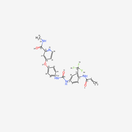 C=CC(=O)Nc1ccc(NC(=O)Nc2ccc(Oc3ccnc(C(=O)NC)c3)cc2)cc1C(F)(F)F